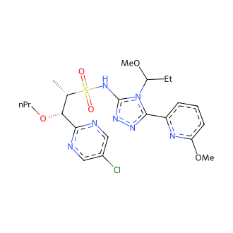 CCCO[C@@H](c1ncc(Cl)cn1)[C@H](C)S(=O)(=O)Nc1nnc(-c2cccc(OC)n2)n1C(CC)OC